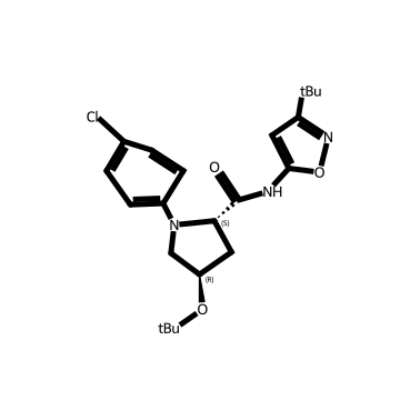 CC(C)(C)O[C@@H]1C[C@@H](C(=O)Nc2cc(C(C)(C)C)no2)N(c2ccc(Cl)cc2)C1